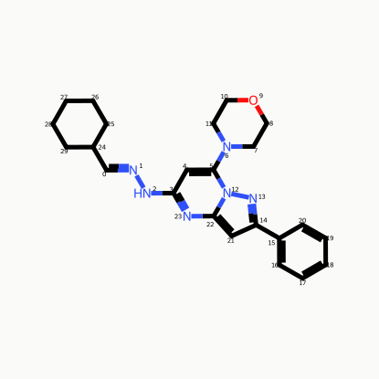 C(=NNc1cc(N2CCOCC2)n2nc(-c3ccccc3)cc2n1)C1CCCCC1